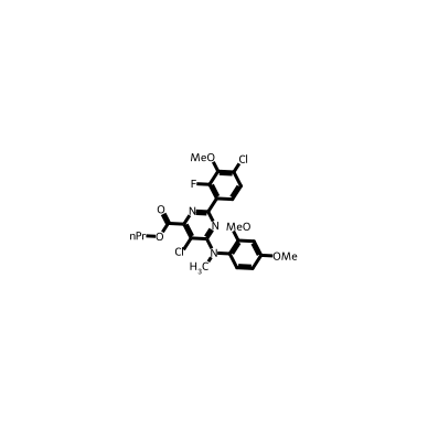 CCCOC(=O)c1nc(-c2ccc(Cl)c(OC)c2F)nc(N(C)c2ccc(OC)cc2OC)c1Cl